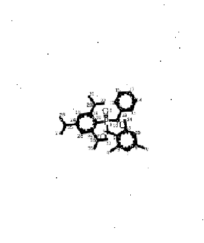 Cc1cc(C)c(C(=O)P(=O)(C(=O)c2ccccc2)c2c(C(C)C)cc(C(C)C)cc2C(C)C)c(C)c1